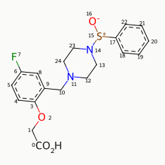 O=C(O)COc1ccc(F)cc1CN1CCN([S+]([O-])c2ccccc2)CC1